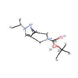 CC(C)n1cc2c(n1)CN(C(=O)OC(C)(C)C)C2